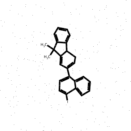 CC1(C)C2=CC(c3ccc(I)c4ccccc34)=CCC2c2ccccc21